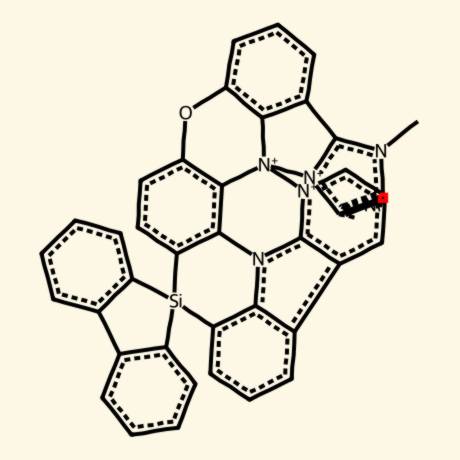 Cn1c2[n+](c3cccnc31)[N+]13c4c(cccc4-2)Oc2ccc4c(c21)-n1c2c(cccc2c2ccc[n+]3c21)[Si]41c2ccccc2-c2ccccc21